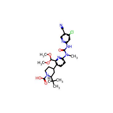 COC(OC)c1nc(N(C)C(=O)Nc2cc(Cl)c(C#N)cn2)ccc1C1CCN(C(=O)O)C(C(C)(C)C)C1